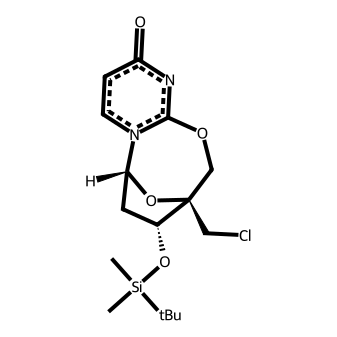 CC(C)(C)[Si](C)(C)O[C@@H]1C[C@H]2O[C@]1(CCl)COc1nc(=O)ccn12